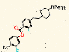 CCCCCC1CCC(CCc2ccc(C(=O)Oc3ccc(C#N)c(F)c3)c(F)c2)CC1